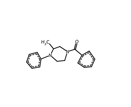 CC1CN(C(=O)c2ccccc2)CCN1c1ccccc1